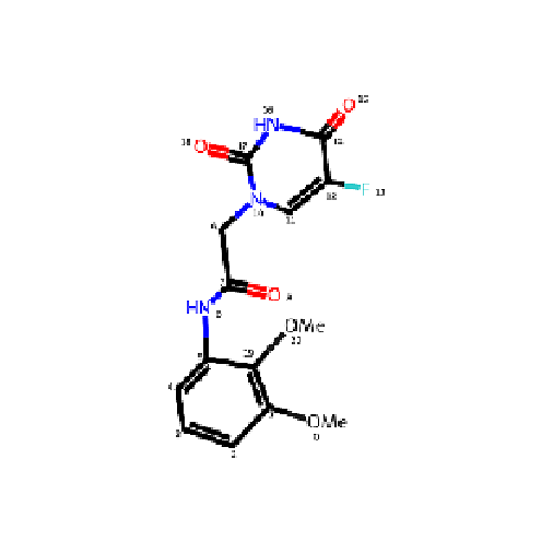 COc1cccc(NC(=O)Cn2cc(F)c(=O)[nH]c2=O)c1OC